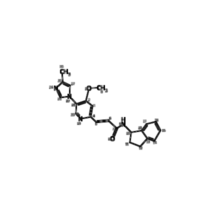 COc1cc(C=CC(=O)NC2CCc3ccccc32)ncc1-n1cnc(C)c1